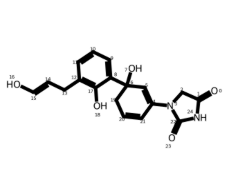 O=C1CN(C2=CC(O)(c3cccc(CC=CO)c3O)CC=C2)C(=O)N1